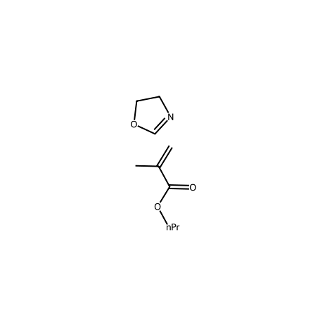 C1=NCCO1.C=C(C)C(=O)OCCC